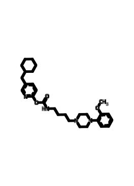 COc1ccccc1N1CCN(CCCCNC(=O)Oc2ccc(CC3CCCCC3)cn2)CC1